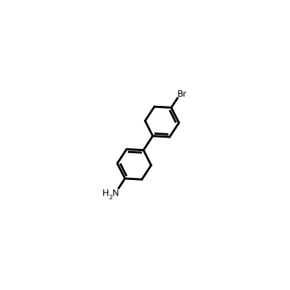 NC1=CC=C(C2=CC=C(Br)CC2)CC1